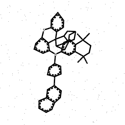 CC1(C)CCC(C)(C)c2cc(N(c3ccc(-c4ccc5ccccc5c4)cc3)c3cccc4c3C3(c5ccccc5S4)C4CC5CC(C4)C3C5)ccc21